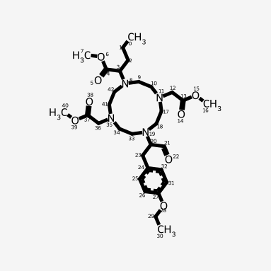 CCCC(C(=O)OC)N1CCN(CC(=O)OC)CCN(C(C=O)Cc2ccc(OCC)cc2)CCN(CC(=O)OC)CC1